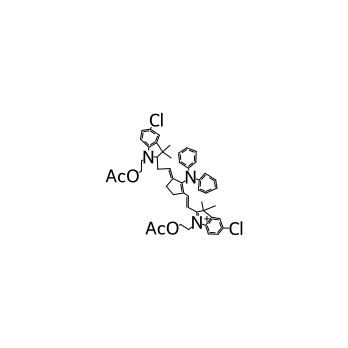 CC(=O)OCCN1c2ccc(Cl)cc2C(C)(C)C1C/C=C1\CCC(/C=C/C2=[N+](CCOC(C)=O)c3ccc(Cl)cc3C2(C)C)=C1N(c1ccccc1)c1ccccc1